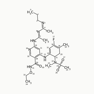 CCC/N=C(C)\N=C(/C)Nc1cc(NC2=CC(F)=C(C)CC2N(C)S(C)(=O)=O)c(C(=O)NOCC)cn1